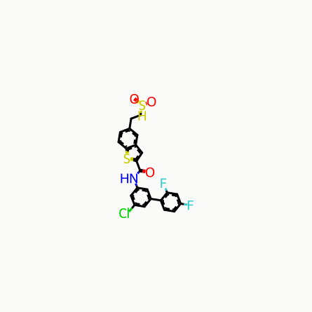 O=C(Nc1cc(Cl)cc(-c2ccc(F)cc2F)c1)c1cc2cc(CC[SH](=O)=O)ccc2s1